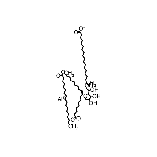 CCCCCCCC/C=C\CCCCCCCC(=O)[O-].CCCCCCCCCCCCCCCCCC(=O)[O-].CCCCCCCCCCCCCCCCCC(=O)[O-].OC[C@@H](O)[C@H]1OC[C@H](O)[C@H]1O.[Al+3]